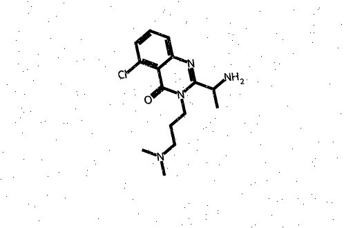 CC(N)c1nc2cccc(Cl)c2c(=O)n1CCCN(C)C